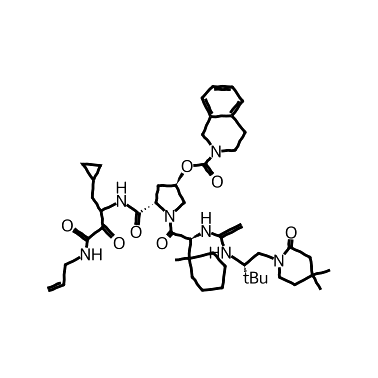 C=CCNC(=O)C(=O)C(CC1CC1)NC(=O)[C@@H]1C[C@@H](OC(=O)N2CCc3ccccc3C2)CN1C(=O)[C@@H](NC(=C)N[C@H](CN1CCC(C)(C)CC1=O)C(C)(C)C)C1(C)CCCCC1